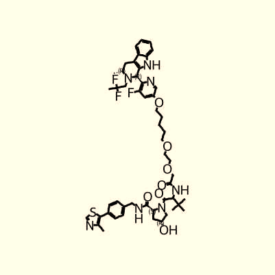 Cc1ncsc1-c1ccc(CNC(=O)[C@@H]2C[C@@H](O)CN2C(=O)C(NC(=O)COCCOCCCCCOc2cnc([C@@H]3c4[nH]c5ccccc5c4C[C@@H](C)N3CC(C)(F)F)c(F)c2)C(C)(C)C)cc1